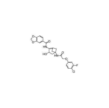 O=C(COc1ccc(Cl)c(F)c1)NC12CC(=C(NC(=O)c3ccc4c(c3)OCO4)C(O)C1)C2